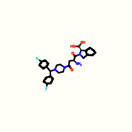 N[C@@H](CC(=O)N1CCN(C(c2ccc(F)cc2)c2ccc(F)cc2)CC1)C(=O)N1Cc2ccccc2[C@H]1B(O)O